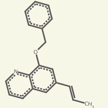 CC=Cc1cc(OCc2ccccc2)c2ncccc2c1